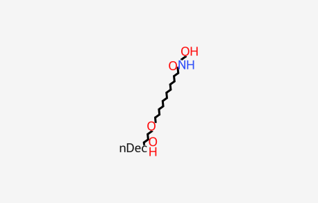 CCCCCCCCCCC[C@@H](O)CCOCCCCCCCCCCCCCC(=O)NCCO